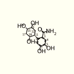 NC(=O)c1cc(O)c(O)cc1[C@@H]1C[C@H](O)[C@H](O)C[C@@H]1O